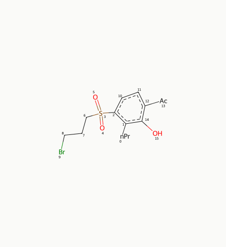 CCCc1c(S(=O)(=O)CCCBr)ccc(C(C)=O)c1O